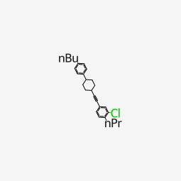 CCCCc1ccc(C2CCC(C#Cc3ccc(CCC)c(Cl)c3)CC2)cc1